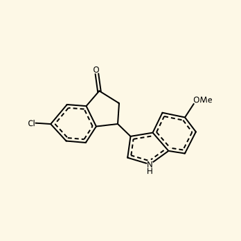 COc1ccc2[nH]cc(C3CC(=O)c4cc(Cl)ccc43)c2c1